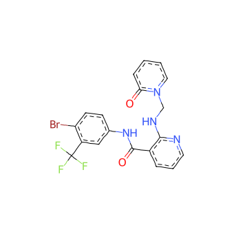 O=C(Nc1ccc(Br)c(C(F)(F)F)c1)c1cccnc1NCn1ccccc1=O